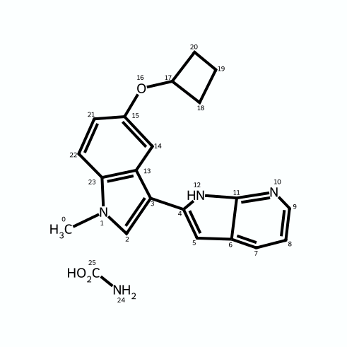 Cn1cc(-c2cc3cccnc3[nH]2)c2cc(OC3CCC3)ccc21.NC(=O)O